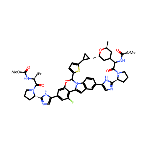 COC(=O)NC(C(=O)N1CCC[C@H]1c1ncc(-c2ccc3c(c2)cc2n3C(c3ccc(C4CC4)s3)Oc3cc(-c4cnc([C@@H]5CCCN5C(=O)[C@@H](NC(=O)OC)C(C)C)[nH]4)cc(F)c3-2)[nH]1)C1C[C@H](C)O[C@@H](C)C1